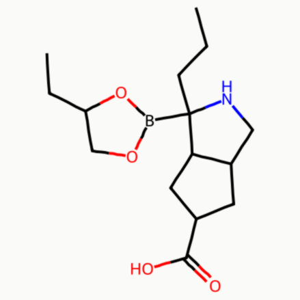 CCCC1(B2OCC(CC)O2)NCC2CC(C(=O)O)CC21